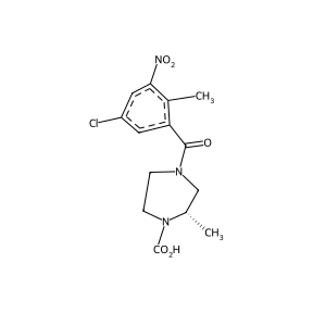 Cc1c(C(=O)N2CCN(C(=O)O)[C@@H](C)C2)cc(Cl)cc1[N+](=O)[O-]